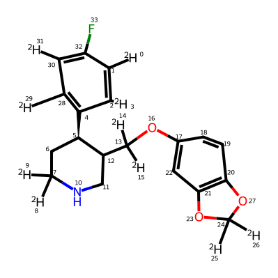 [2H]c1c([2H])c([C@@H]2CC([2H])([2H])NCC2C([2H])([2H])Oc2ccc3c(c2)OC([2H])([2H])O3)c([2H])c([2H])c1F